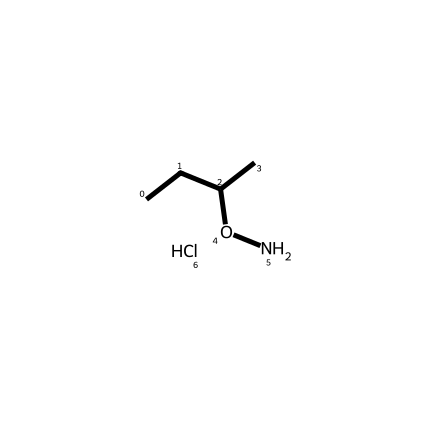 CCC(C)ON.Cl